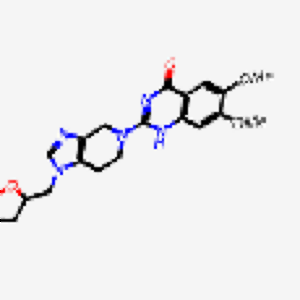 COc1cc2[nH]c(N3CCc4c(ncn4CC4CCCO4)C3)nc(=O)c2cc1OC